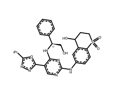 CC(C)c1nnc(-c2cnc(Nc3ccc4c(c3)C(O)CCS4(=O)=O)nc2N[C@H](CO)c2ccccc2)o1